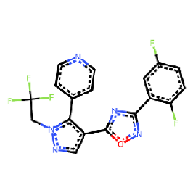 Fc1ccc(F)c(-c2noc(-c3cnn(CC(F)(F)F)c3-c3ccncc3)n2)c1